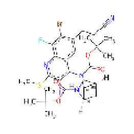 CSc1nc2c(F)c(Br)c(CCC#N)cc2c(N(C(=O)OC(C)(C)C)[C@H]2[C@@H]3C[C@H]2N(C(=O)OC(C)(C)C)C3)c1I